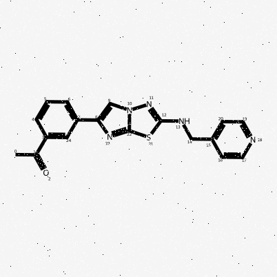 CC(=O)c1cccc(-c2cn3nc(NCc4ccncc4)sc3n2)c1